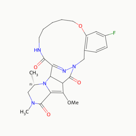 COC1=C2C(=O)N(C)C[C@H](C)N2C2C3=NN(Cc4ccc(F)cc4OCCCCCNC3=O)C(=O)C12